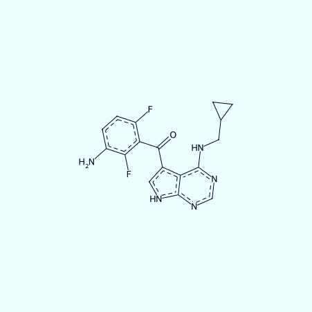 Nc1ccc(F)c(C(=O)c2c[nH]c3ncnc(NCC4CC4)c23)c1F